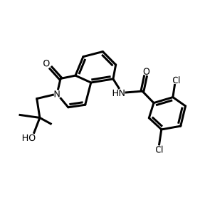 CC(C)(O)Cn1ccc2c(NC(=O)c3cc(Cl)ccc3Cl)cccc2c1=O